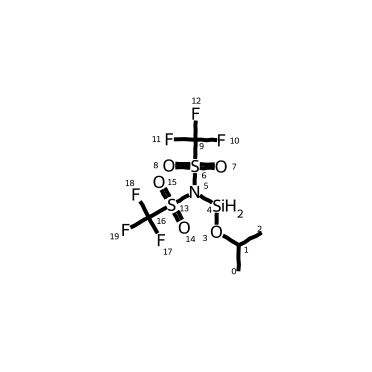 CC(C)O[SiH2]N(S(=O)(=O)C(F)(F)F)S(=O)(=O)C(F)(F)F